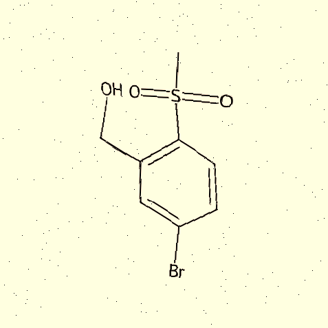 CS(=O)(=O)c1ccc(Br)cc1CO